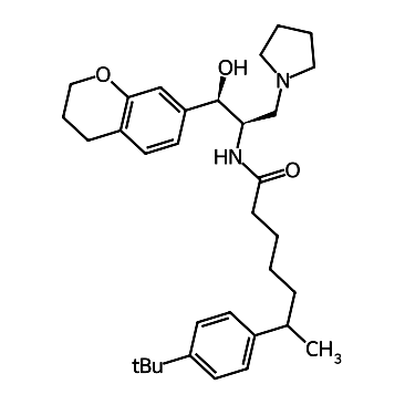 CC(CCCCC(=O)N[C@H](CN1CCCC1)[C@H](O)c1ccc2c(c1)OCCC2)c1ccc(C(C)(C)C)cc1